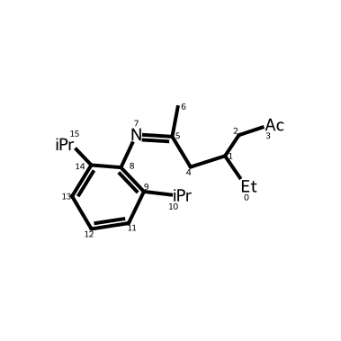 CCC(CC(C)=O)CC(C)=Nc1c(C(C)C)cccc1C(C)C